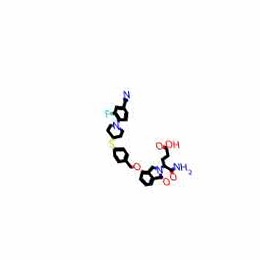 N#Cc1ccc(N2CCC(Sc3ccc(COc4cccc5c4CN(C(CCC(=O)O)C(N)=O)C5=O)cc3)CC2)c(F)c1